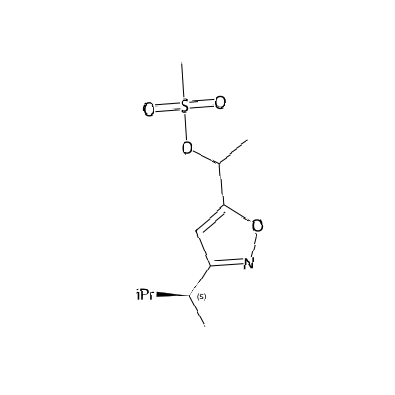 CC(OS(C)(=O)=O)c1cc([C@@H](C)C(C)C)no1